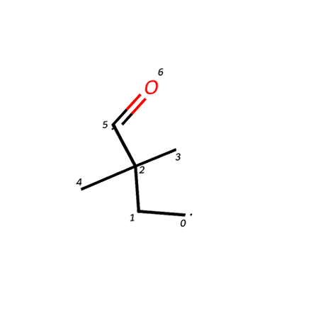 [CH2]CC(C)(C)[C]=O